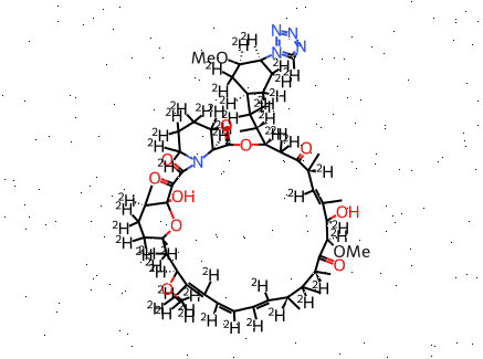 [2H]C1=C([2H])/C([2H])=C(\C([2H])([2H])[2H])[C@@]([2H])(OC([2H])([2H])[2H])C([2H])([2H])[C@@]2([2H])O[C@@](O)(C(=O)C(=O)N3C([2H])([2H])C([2H])([2H])C([2H])([2H])C([2H])([2H])[C@@]3([2H])C(=O)O[C@]([2H])([C@]([2H])(C)C([2H])([2H])[C@]3([2H])C([2H])([2H])C([2H])([2H])[C@]([2H])(n4nnnc4[2H])[C@]([2H])(OC)C3([2H])[2H])C([2H])([2H])C(=O)[C@]([2H])(C)/C([2H])=C(\C)[C@@]([2H])(O)[C@@]([2H])(OC)C(=O)[C@]([2H])(C)C([2H])(C)[C@]([2H])(C)\C([2H])=C\1[2H])[C@]([2H])(C)C([2H])([2H])C2([2H])[2H]